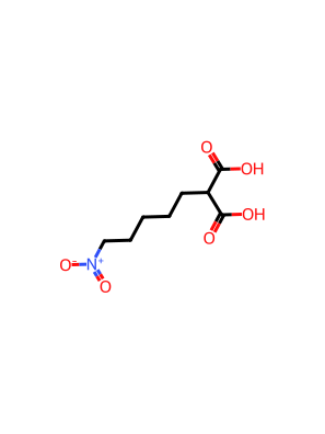 O=C(O)C(CCCCC[N+](=O)[O-])C(=O)O